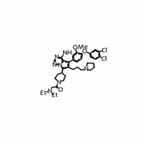 CCN(CC)CC(=O)N1CCC(c2c(CCCN3CCCC3)c(-c3ccc(Oc4ccc(Cl)c(Cl)c4)c(OC)c3)c3c(N)ncnn23)CC1